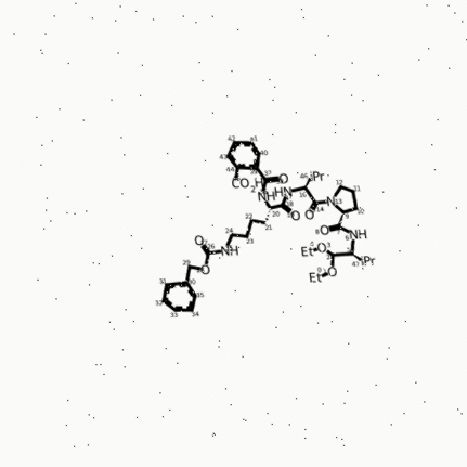 CCOC(OCC)[C@@H](NC(=O)[C@@H]1CCCN1C(=O)[C@@H](NC(=O)[C@H](CCCCNC(=O)OCc1ccccc1)NC(=O)c1ccccc1C(=O)O)C(C)C)C(C)C